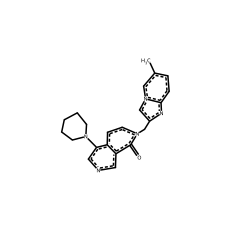 Cc1ccc2nc(Cn3ccc4c(N5CCCCC5)cncc4c3=O)cn2c1